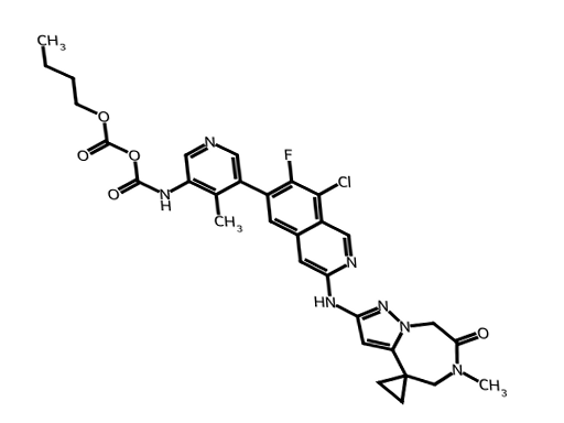 CCCCOC(=O)OC(=O)Nc1cncc(-c2cc3cc(Nc4cc5n(n4)CC(=O)N(C)CC54CC4)ncc3c(Cl)c2F)c1C